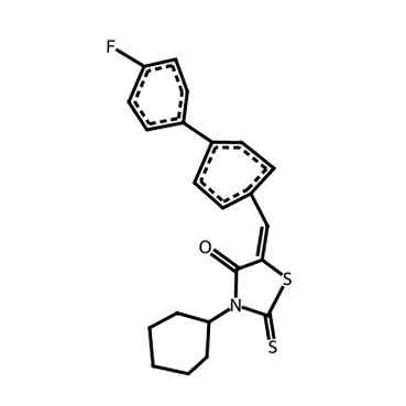 O=C1/C(=C\c2ccc(-c3ccc(F)cc3)cc2)SC(=S)N1C1CCCCC1